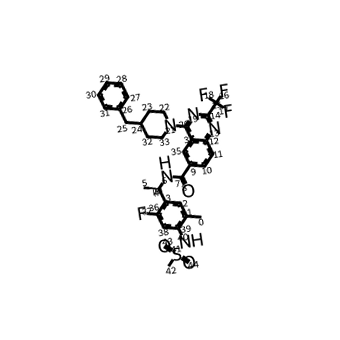 Cc1cc([C@@H](C)NC(=O)c2ccc3nc(C(F)(F)F)nc(N4CCC(Cc5ccccc5)CC4)c3c2)c(F)cc1NS(C)(=O)=O